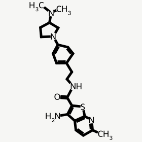 Cc1ccc2c(N)c(C(=O)NCCc3ccc(N4CCC(N(C)C)C4)cc3)sc2n1